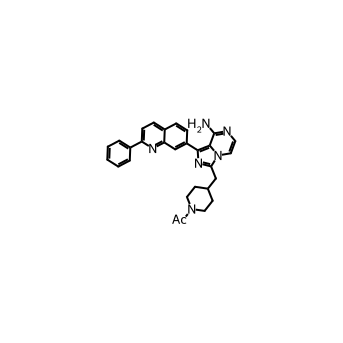 CC(=O)N1CCC(Cc2nc(-c3ccc4ccc(-c5ccccc5)nc4c3)c3c(N)nccn23)CC1